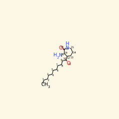 CCCCCCCCCCC(=O)C1CCCNC(=O)[C@H]1N